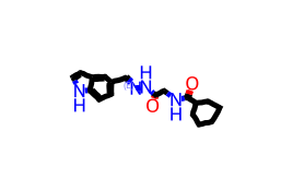 O=C(CNC(=O)C1CCCCC1)N/N=C/c1ccc2[nH]ccc2c1